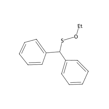 CCOSC(c1ccccc1)c1ccccc1